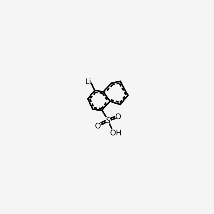 [Li][c]1ccc(S(=O)(=O)O)c2ccccc12